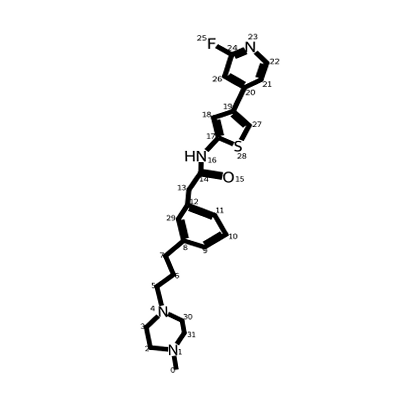 CN1CCN(CCCc2cccc(CC(=O)Nc3cc(-c4ccnc(F)c4)cs3)c2)CC1